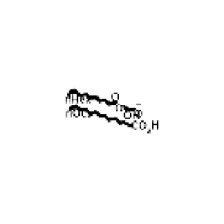 CCCCCC/C=C\CCCCCCCC(=O)OCC(O)CO.CCCCCCCC/C=C\CCCCCCCCCCCC(=O)O